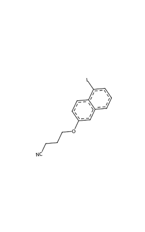 N#CCCCOc1ccc2c(I)cccc2c1